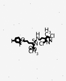 COC(=O)c1nc(NCCc2c(Cl)nnc(Cl)c2C)sc1CCCOc1ccc(I)cc1F